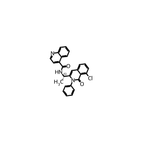 C[C@H](NC(=O)c1ccnc2ccccc12)c1cc2cccc(Cl)c2c(=O)n1-c1ccccc1